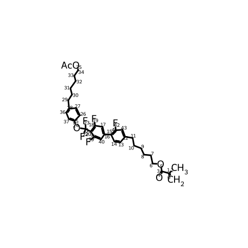 C=C(C)C(=O)OCCCCCCc1ccc(-c2cc(F)c(C(F)(F)Oc3ccc(CCCCCCOC(C)=O)cc3)c(F)c2)c(F)c1